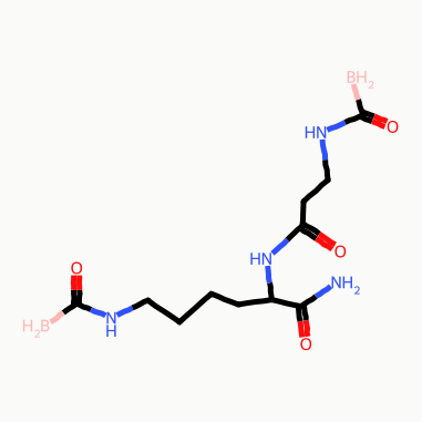 BC(=O)NCCCCC(NC(=O)CCNC(B)=O)C(N)=O